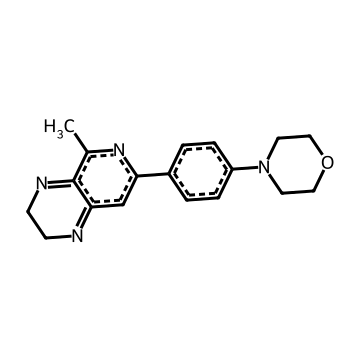 Cc1nc(-c2ccc(N3CCOCC3)cc2)cc2c1=NCCN=2